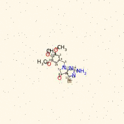 COc1cc(CN2CC(=O)c3c(Br)nc(N)nc32)cc(OC)c1OC